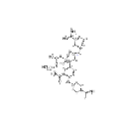 CC(=N)N1CCC(Oc2ccc(N(C/C(C)=C/c3cccc(C(=N)N)c3)S(=O)(=O)CC(=O)O)cc2C(N)=O)CC1.Cl.Cl